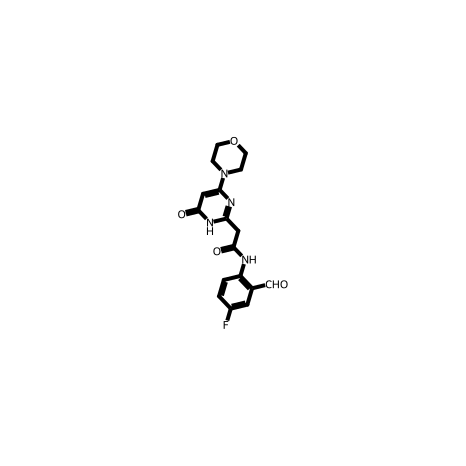 O=Cc1cc(F)ccc1NC(=O)Cc1nc(N2CCOCC2)cc(=O)[nH]1